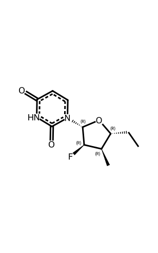 CC[C@H]1O[C@@H](n2ccc(=O)[nH]c2=O)[C@H](F)[C@@H]1C